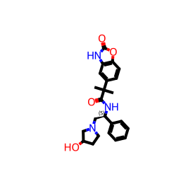 CC(C)(C(=O)N[C@H](CN1CCC(O)C1)c1ccccc1)c1ccc2oc(=O)[nH]c2c1